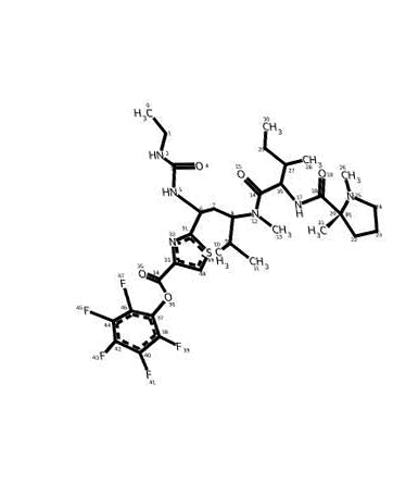 CCNC(=O)NC(CC(C(C)C)N(C)C(=O)C(NC(=O)[C@@]1(C)CCCN1C)C(C)CC)c1nc(C(=O)Oc2c(F)c(F)c(F)c(F)c2F)cs1